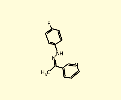 C/C(=N/Nc1ccc(F)cc1)c1cccnc1